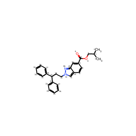 CC(C)COC(=O)c1ccc2cn(CCC(c3ccccc3)c3ccccc3)nc2c1